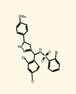 COc1ccc(C2CC(C(NS(=O)(=O)c3ccccc3Br)c3ccc(Cl)cc3Cl)=NN2)cc1